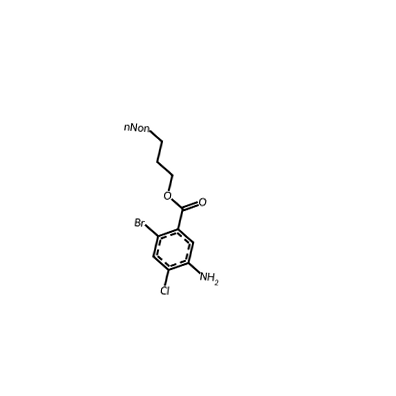 CCCCCCCCCCCCOC(=O)c1cc(N)c(Cl)cc1Br